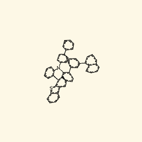 c1ccc(-c2ccc(N(c3ccccc3-c3cccc(-c4cccc5ccccc45)c3)c3ccccc3-c3cccc4c3sc3ccccc34)cc2)cc1